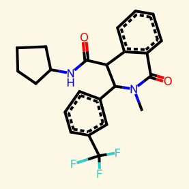 CN1C(=O)c2ccccc2C(C(=O)NC2CCCC2)C1c1cccc(C(F)(F)F)c1